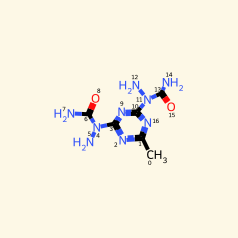 Cc1nc(N(N)C(N)=O)nc(N(N)C(N)=O)n1